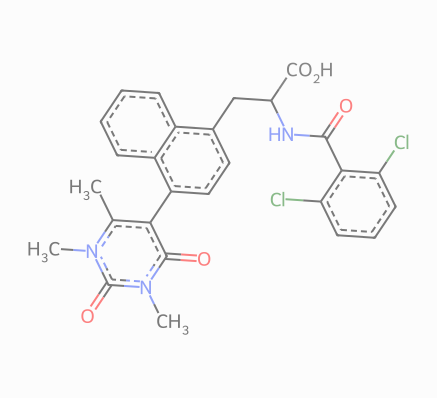 Cc1c(-c2ccc(CC(NC(=O)c3c(Cl)cccc3Cl)C(=O)O)c3ccccc23)c(=O)n(C)c(=O)n1C